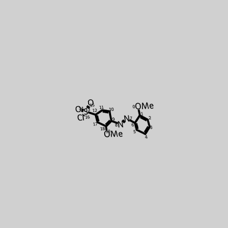 COc1ccccc1N=Nc1ccc(S(=O)(=O)Cl)cc1OC